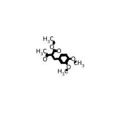 CCOC(=O)C(Cc1ccc(OC)c(OC)c1)C(C)=O